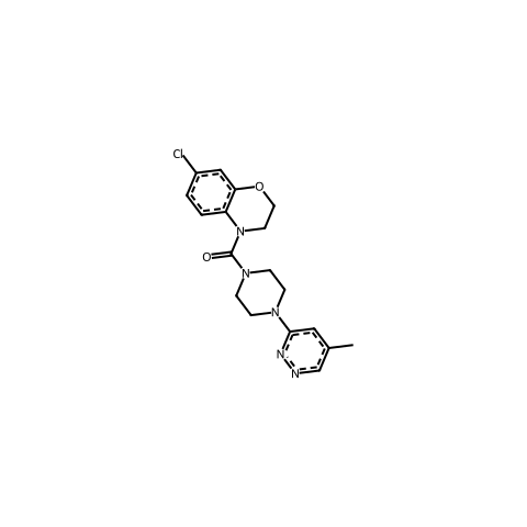 Cc1cnnc(N2CCN(C(=O)N3CCOc4cc(Cl)ccc43)CC2)c1